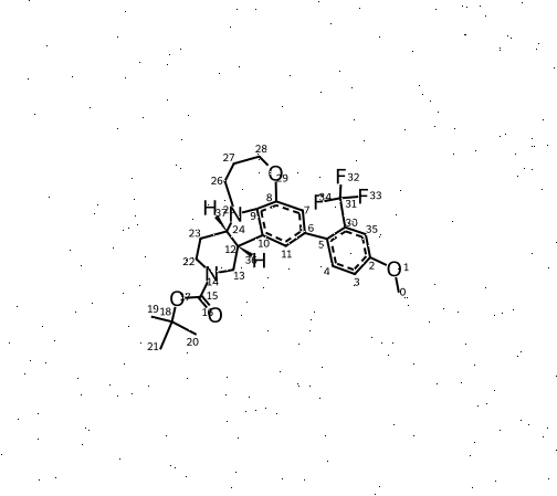 COc1ccc(-c2cc3c4c(c2)[C@@H]2CN(C(=O)OC(C)(C)C)CC[C@@H]2N4CCCO3)c(C(F)(F)F)c1